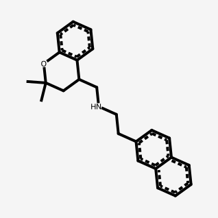 CC1(C)CC(CNCCc2ccc3ccccc3c2)c2ccccc2O1